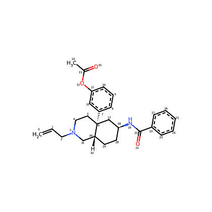 C=CCN1CC[C@@]2(c3cccc(OC(C)=O)c3)C[C@@H](NC(=O)c3ccccc3)CC[C@@H]2C1